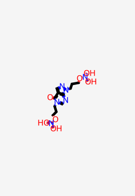 O=c1c2cnn(CCCON(O)O)c2ncn1CCCON(O)O